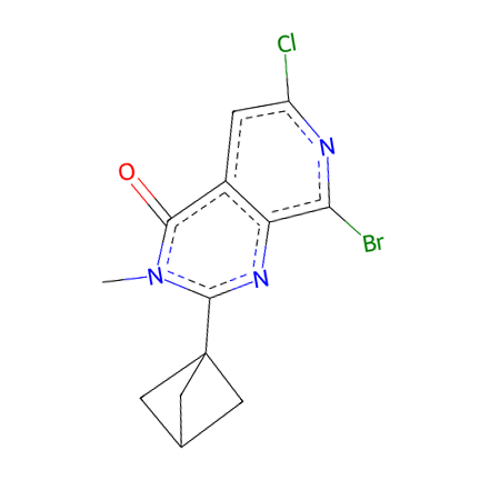 Cn1c(C23CC(C2)C3)nc2c(Br)nc(Cl)cc2c1=O